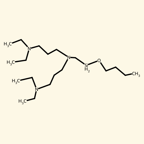 CCCCO[SiH2]CN(CCCN(CC)CC)CCCN(CC)CC